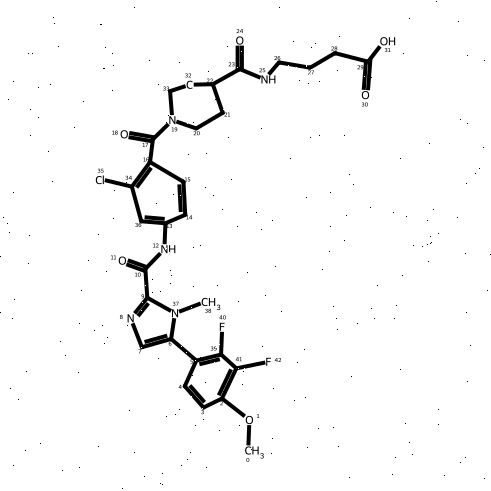 COc1ccc(-c2cnc(C(=O)Nc3ccc(C(=O)N4CCC(C(=O)NCCCC(=O)O)CC4)c(Cl)c3)n2C)c(F)c1F